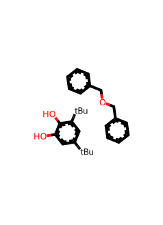 CC(C)(C)c1cc(O)c(O)c(C(C)(C)C)c1.c1ccc(COCc2ccccc2)cc1